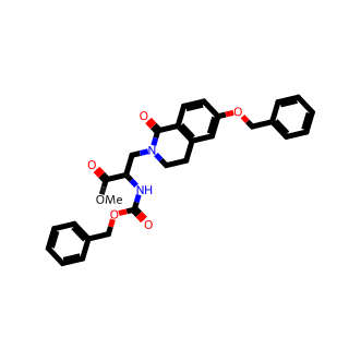 COC(=O)C(CN1CCc2cc(OCc3ccccc3)ccc2C1=O)NC(=O)OCc1ccccc1